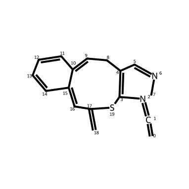 C=C=N/C1=C(\C=N/C)C/C=c2/cccc/c2=C/C(=C)S1